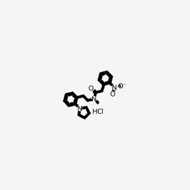 CN(CCc1ccccc1N1CCCC1)C(=O)Cc1ccccc1[N+](=O)[O-].Cl